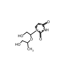 CC(CO)OC(CO)n1ccc(=O)[nH]c1=O